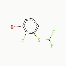 Fc1c(Br)cccc1SC(F)F